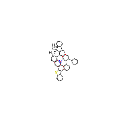 CC1(C)c2ccccc2-c2cccc(-c3ccccc3N(c3ccc4c(c3)sc3ccccc34)c3cccc(-c4ccccc4)c3-c3ccccc3-c3ccccc3)c21